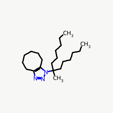 CCCCCCC(C)(CCCCCC)n1nnc2c1CCCCCC2